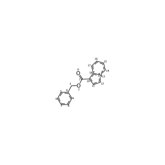 O=C(OCc1ccccc1)c1ccn2ccccc12